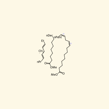 CCCCC/C=C\C/C=C\CCCCCCCC(=O)OC.CCCCCCCCCCCCCCCCCC(=O)OC.[CH2]CC=CCC=CCCC.[CH3]